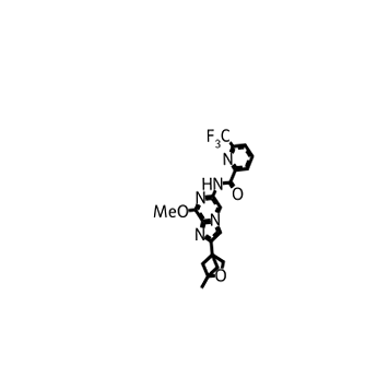 COc1nc(NC(=O)c2cccc(C(F)(F)F)n2)cn2cc(C34COC(C)(C3)C4)nc12